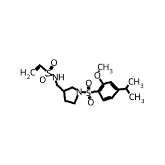 C=CS(=O)(=O)NCC1CCN(S(=O)(=O)c2ccc(C(C)C)cc2OC)C1